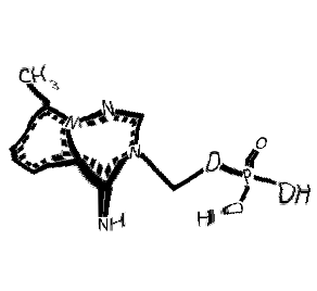 Cc1ccc2c(=N)n(COP(=O)(O)O)cnn12